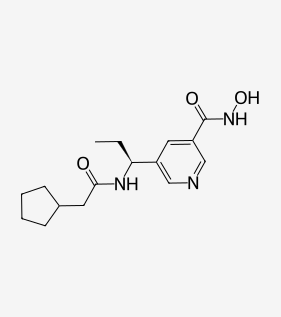 CC[C@H](NC(=O)CC1CCCC1)c1cncc(C(=O)NO)c1